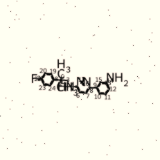 CC(C)(CNc1ccc(-c2cccc(N)c2)nn1)c1ccc(F)cc1